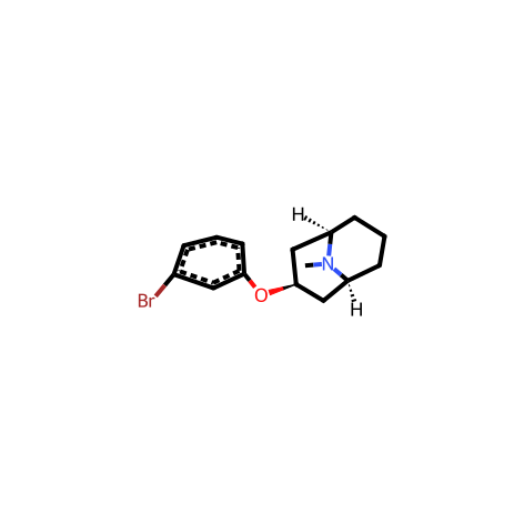 CN1[C@@H]2CCC[C@H]1C[C@@H](Oc1cccc(Br)c1)C2